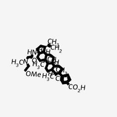 C=C(C)[C@@H]1CC[C@]2(NC(=O)CN(C)CCOC)CC[C@]3(C)[C@H](CC[C@@H]4[C@@]5(C)CC=C(c6ccc(C(=O)O)cc6)C(C)(C)[C@@H]5CC[C@]43C)[C@@H]12